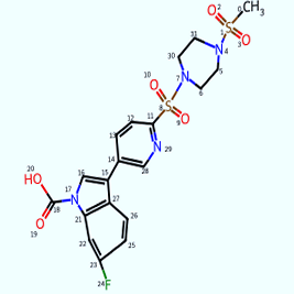 CS(=O)(=O)N1CCN(S(=O)(=O)c2ccc(-c3cn(C(=O)O)c4cc(F)ccc34)cn2)CC1